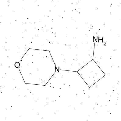 NC1CCC1N1CCOCC1